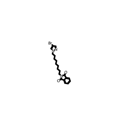 O=C1c2ccccc2C(=O)N1CCCCCCCCCn1cc(Br)cn1